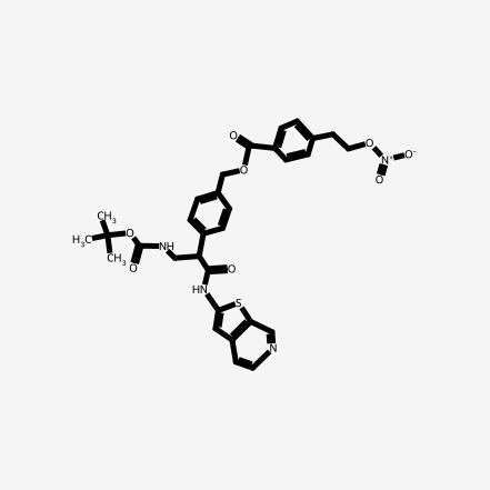 CC(C)(C)OC(=O)NCC(C(=O)Nc1cc2ccncc2s1)c1ccc(COC(=O)c2ccc(CCO[N+](=O)[O-])cc2)cc1